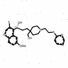 COc1ccc2ncc(F)c([C@H](O)CCC3(CO)CCN(CCSc4ccccn4)CC3)c2c1